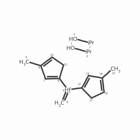 CC(C)O.CC(C)O.[CH2]=[Hf]([C]1=CC(C)=CC1)[C]1=CC(C)=CC1